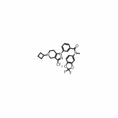 CN(C(=O)c1cccc(-n2nc(C(F)(F)F)c3c2CCN(C2CCC2)C3)c1)c1ccc2c(c1)OC(F)(F)O2